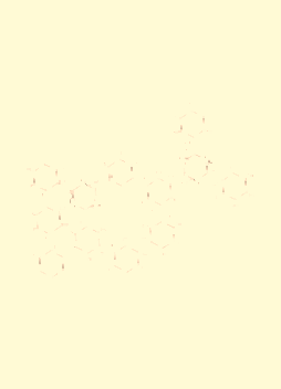 c1ccc(-c2ccc(-c3ccccc3-c3nc(-c4ccccc4)nc(-c4cccc(-c5cccc(-c6cccc(-c7cccc(-c8nc(-c9ccccc9)nc(-c9ccccc9)n8)c7)c6)c5)c4)n3)cc2)cc1